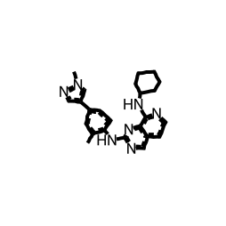 Cc1cc(-c2cnn(C)c2)ccc1Nc1ncc2ccnc(NC3CCCCC3)c2n1